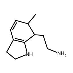 CC1C=CC2=C(NCC2)C1CCN